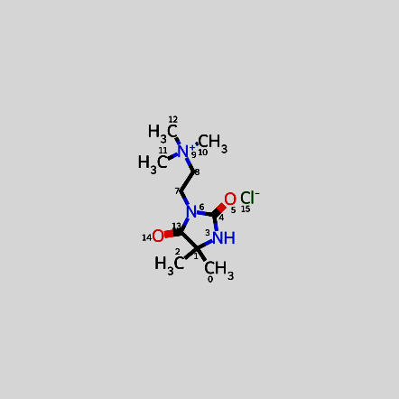 CC1(C)NC(=O)N(CC[N+](C)(C)C)C1=O.[Cl-]